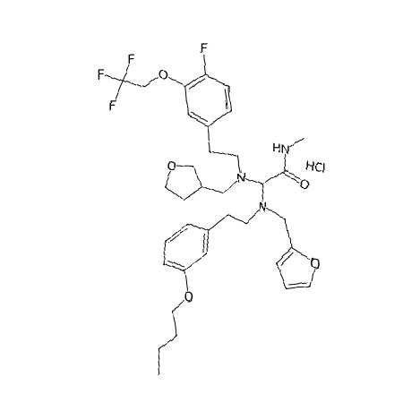 CCCCOc1cccc(CCN(Cc2ccco2)C(C(=O)NC)N(CCc2ccc(F)c(OCC(F)(F)F)c2)CC2CCOC2)c1.Cl